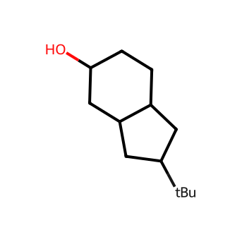 CC(C)(C)C1CC2CCC(O)CC2C1